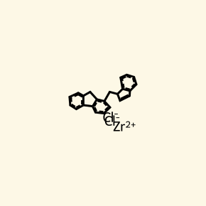 C1=CC(Cc2cccc3c2Cc2ccccc2-3)c2ccccc21.[Cl-].[Cl-].[Zr+2]